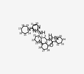 O=C(NCC[C@@H]1[C@@H](Nc2nccc(N3CCCCCC3)n2)CCCN1C1CCCCC1)[C@@H]1CCCCN1